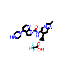 Cc1cn2cc(NC(=O)N3CCc4c(N5CCNCC5)ccnc43)c(C3CC3)cc2n1.O=C(O)C(F)(F)F